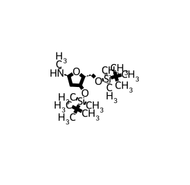 CN[C@H]1CC(O[Si](C)(C)C(C)(C)C)[C@@H](CO[Si](C)(C)C(C)(C)C)O1